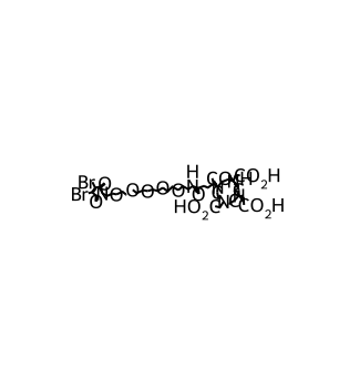 O=C(O)CN1CCN(CC(=O)O)CCN(C(CCC(=O)NCCOCCOCCOCCOCCOCCN2C(=O)C(Br)=C(Br)C2=O)C(=O)O)CCN(CC(=O)O)CC1